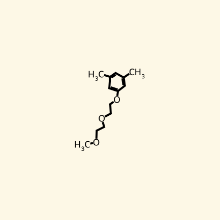 COCCOCCOc1cc(C)cc(C)c1